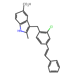 Cc1[nH]c2ccc(C(=O)O)cc2c1Cc1ccc(/C=C/c2ccccc2)cc1Cl